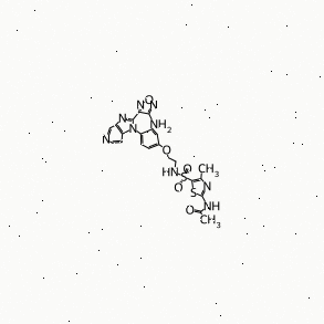 CC(=O)Nc1nc(C)c(S(=O)(=O)NCCOc2ccc(-n3c(-c4nonc4N)nc4cnccc43)cc2)s1